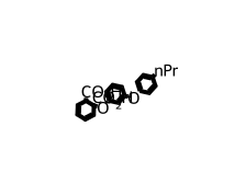 CCCc1ccc(Oc2cccc(OC3(C(=O)O)C=CC=CC3C(=O)O)c2)cc1